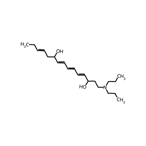 CCC=CCC(O)C=CC=CC=CC(O)CCN(CCC)CCC